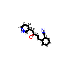 N#Cc1ccccc1C=CC(=O)Cc1cccnc1